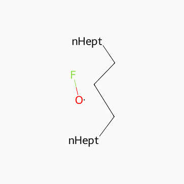 CCCCCCCCCCCCCCCCC.[O]F